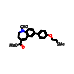 COC(=O)C1=Cc2cc(-c3ccc(OCCSC)cc3)ccc2N(C=O)CC1